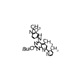 Cc1nc2ccc(Nc3nc(OCC(C)C)nc4nc(-c5ncccc5C)cc(C)c34)cc2o1